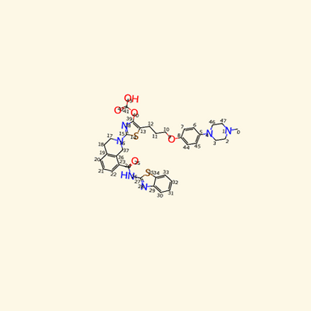 CN1CCN(c2ccc(OCCCc3sc(N4CCc5cccc(C(=O)Nc6nc7ccccc7s6)c5C4)nc3OC(=O)O)cc2)CC1